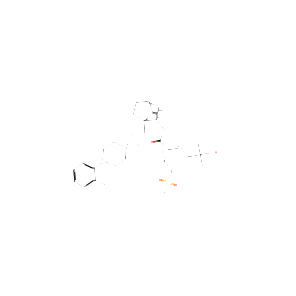 Cc1ccccc1N1CCN(S(=O)(=O)CC23CCC(CC2NC(=O)[C@H](CCS(C)(=O)=O)NCC(C)(C)O)C3(C)C)CC1